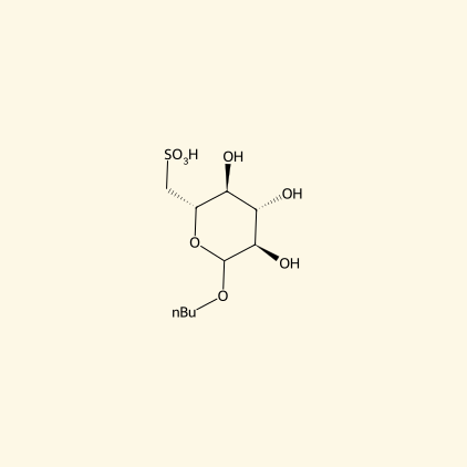 CCCCOC1O[C@H](CS(=O)(=O)O)[C@@H](O)[C@H](O)[C@H]1O